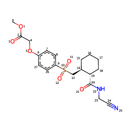 COC(=O)COc1ccc(S(=O)(=O)C[C@H]2CCCC[C@@H]2C(=O)NCC#N)cc1